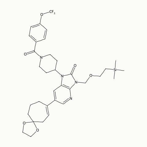 C[Si](C)(C)CCOCn1c(=O)n(C2CCN(C(=O)c3ccc(OC(F)(F)F)cc3)CC2)c2cc(C3=CCC4(CCC3)OCCO4)cnc21